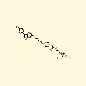 CC(C)NCCCNC(=O)CN1CCN(CCCCCOc2ccc3c(-c4ccc(Cl)cc4)coc3c2)CC1